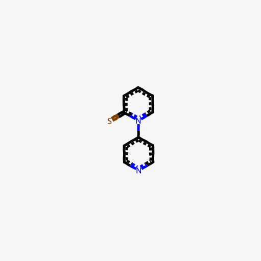 S=c1ccccn1-c1ccncc1